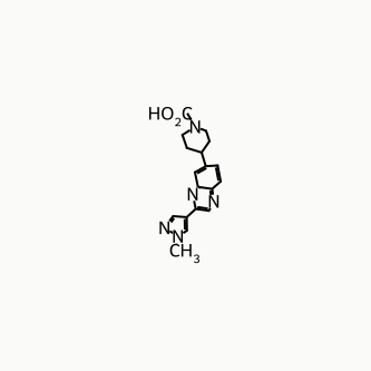 Cn1cc(-c2cnc3ccc(C4CCN(C(=O)O)CC4)cc3n2)cn1